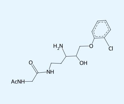 CC(=O)NCC(=O)NCCC(N)C(O)COc1ccccc1Cl